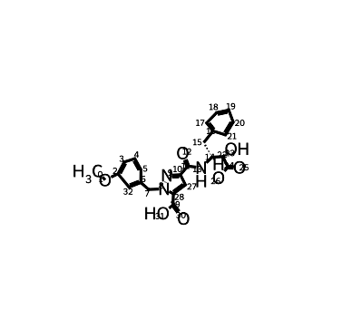 COc1cccc(Cn2nc(C(=O)N[C@H](Cc3ccccc3)[C@@H](O)C(=O)O)cc2C(=O)O)c1